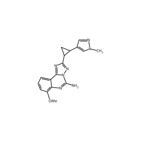 COc1cccc2c1nc(N)n1nc(C3CC3c3cnn(C)c3)nc21